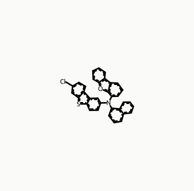 Clc1ccc2c(c1)sc1ccc(N(c3cccc4ccccc34)c3cccc4c3oc3ccccc34)cc12